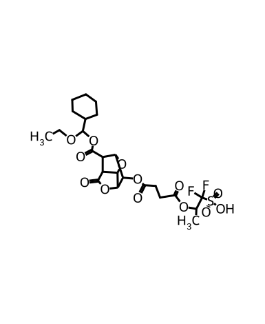 CCOC(OC(=O)C1C2OC3C(OC(=O)C31)C2OC(=O)CCC(=O)OC(C)C(F)(F)S(=O)(=O)O)C1CCCCC1